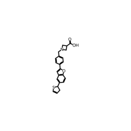 O=C(O)C1CN(Cc2ccc(-c3cc4cc(C5CC=CS5)ccc4o3)cc2)C1